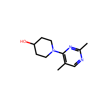 Cc1ncc(C)c(N2CCC(O)CC2)n1